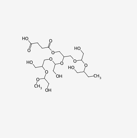 CCC(CO)OC(CO)OCC(COC(=O)CCC(=O)O)OC(CO)OCC(CO)OC(CO)OC